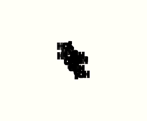 CC(O)CNC(=O)C(CS)C(C(N)=O)(C(N)=O)C(CS)C(=O)NCC(C)O